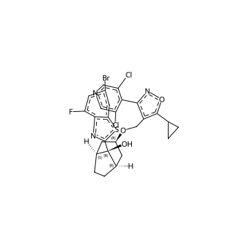 O[C@@]1(c2nc3c(F)cc(Br)cc3s2)[C@@H]2CC[C@H]1C[C@@H](OCc1c(-c3c(Cl)cncc3Cl)noc1C1CC1)C2